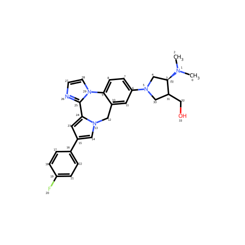 CN(C)[C@@H]1CN(c2ccc3c(c2)Cn2cc(-c4ccc(F)cc4)cc2-c2nccn2-3)CC1CO